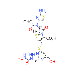 Nc1nc(N(C(=O)C=O)[C@@H]2C(=O)N3C(C(=O)O)=C(CSC4=CC(CO)=NC5=CN(C(=O)NO)NN54)CS[C@H]23)cs1